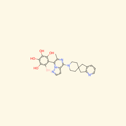 Bc1c(O)c(O)c(O)c(O)c1-c1c(C)nc(N2CCC3(CC2)Cc2cccnc2C3)c2ccnn12